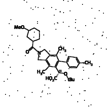 COC1CCCC(C(=O)N2Cc3c(C)c(-c4ccc(C)cc4)c([C@H](OC(C)(C)C)C(=O)O)c(C)c3C2)C1